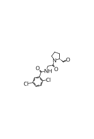 O=C[C@@H]1CCCN1C(=O)CNC(=O)c1cc(Cl)ccc1Cl